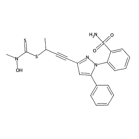 CC(C#Cc1cc(-c2ccccc2)n(-c2ccccc2S(N)(=O)=O)n1)SC(=S)N(C)O